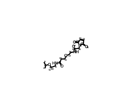 CC(C)O[C@@H](C)CNC(=O)CCOCCNC(=O)CN1C(=O)C=CC1=O